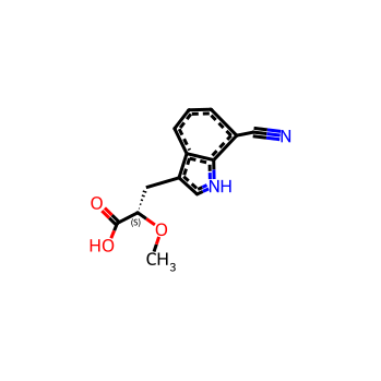 CO[C@@H](Cc1c[nH]c2c(C#N)cccc12)C(=O)O